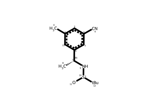 Cc1cc(C#N)cc([C@@H](C)N[S+]([O-])C(C)(C)C)c1